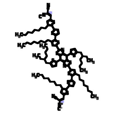 [C-]#[N+]/C(C#N)=C\c1cc(CCCCCCCC)c(-c2ccc(-c3sc(-c4nc5c(-c6ccc(CC(CC)CCCC)s6)c6sc(-c7cc(CCCCCCCC)c(-c8ccc(-c9sc(/C=C(\C#N)[N+]#[C-])cc9CCCCCCCC)s8)s7)nc6c(-c6ccc(CC(CC)CCCC)s6)c5s4)cc3CCCCCCCC)s2)s1